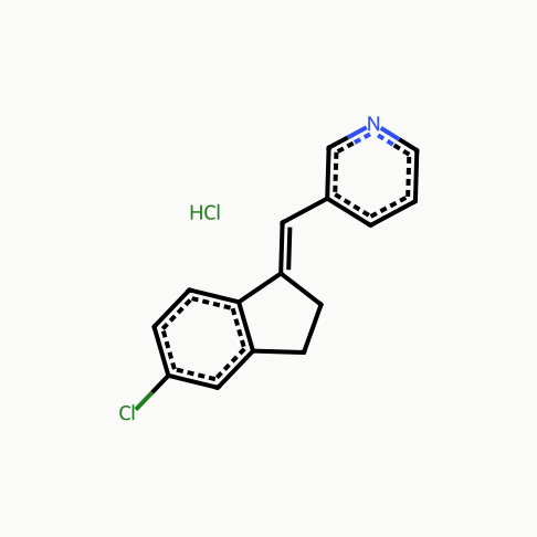 Cl.Clc1ccc2c(c1)CCC2=Cc1cccnc1